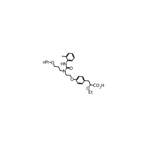 CCCOCCCN(CCOc1ccc(CC(OCC)C(=O)O)cc1)C(=O)Nc1ccccc1C